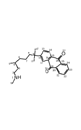 CNCCC(C)CCCC(C)(C)c1ccc2c(c1)C(=O)c1ccccc1C2=O